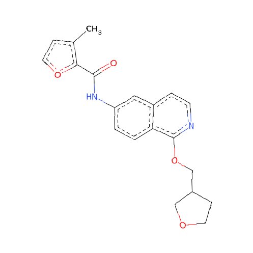 Cc1ccoc1C(=O)Nc1ccc2c(OCC3CCOC3)nccc2c1